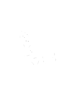 CS(=O)(=O)Nc1ccc2c(c1)C1(CCC3(CC3)CC1)CN2C(=O)c1cccc(S(=O)(=O)C2CC(F)(F)C2)c1